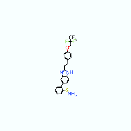 NSc1ccccc1-c1ccc2[nH]c(CCc3ccc(OCC(F)(F)C(F)(F)F)cc3)nc2c1